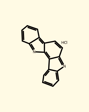 Cl.c1ccc2c(c1)N=c1ccc3c(c1-2)N=c1ccccc1=3